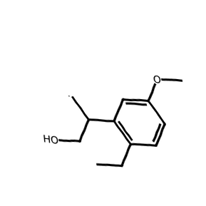 [CH2]C(CO)c1cc(OC)ccc1CC